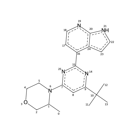 CC1COCCN1c1cc(C(C)(C)C)nc(-c2ccnc3[nH]ccc23)n1